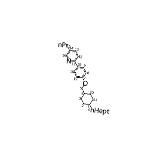 CCCCCCCC1CCC(COc2ccc(-c3ccc(CCC)cn3)cc2)CC1